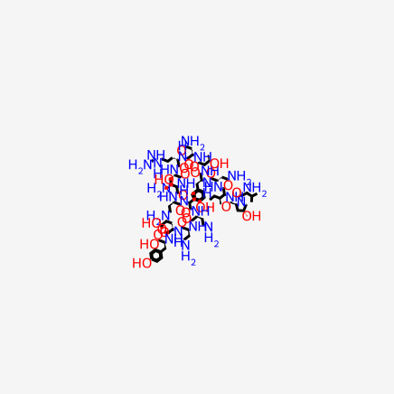 CC[C@H](C)[C@H](NC(=O)[C@@H]1C[C@@H](O)CN1C(=O)[C@@H](N)C(C)C)C(=O)N[C@@H](CCN)C(=O)N[C@@H](Cc1ccc(O)cc1)C(=O)N[C@H](C(=O)N[C@@H](CC(N)=O)C(=O)N[C@@H](CCCNC(=N)N)C(=O)N[C@@H](CCN)C(=O)N[C@H](C(=O)N[C@H](CCN)C(=O)N[C@H](C(=O)N[C@@H](CCN)C(=O)N[C@@H](CCN)C(=O)N[C@@H](CCC(=O)O)C(=O)N[C@@H](Cc1ccc(O)cc1)C(=O)O)C(C)C)[C@@H](C)O)[C@@H](C)O